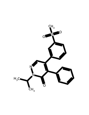 CC(C)n1ncc(-c2cccc(S(C)(=O)=O)c2)c(-c2ccccc2)c1=O